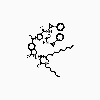 CCCCCCCCCC(=O)N[C@@H](CN1Cc2cc(C(=O)N3C[C@@H](C(=O)N[C@H]4C[C@@H]4c4ccccc4)[C@H](C(=O)N[C@H]4C[C@@H]4c4ccccc4)C3)ccc2C1=O)C(=O)NCCCCCC